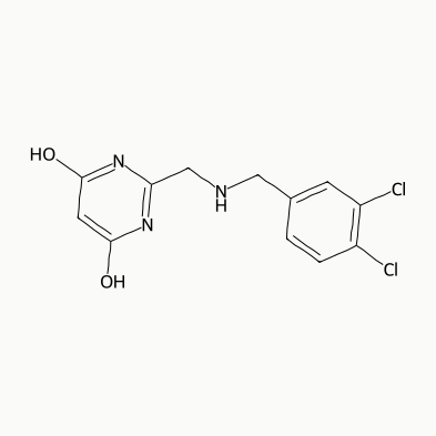 Oc1cc(O)nc(CNCc2ccc(Cl)c(Cl)c2)n1